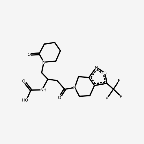 O=C(O)NC(CC(=O)N1CCc2c(noc2C(F)(F)F)C1)CN1CCCCC1=O